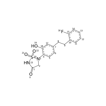 O=C1CN(c2ccc(CCc3ccccc3F)cc2O)S(=O)(=O)N1